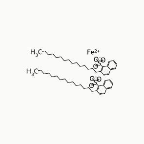 CCCCCCCCCCCCCCCc1ccc2ccccc2c1S(=O)(=O)[O-].CCCCCCCCCCCCCCCc1ccc2ccccc2c1S(=O)(=O)[O-].[Fe+2]